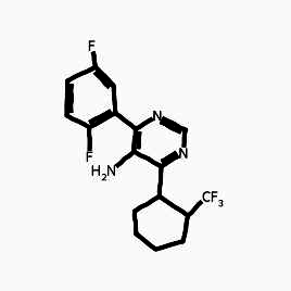 Nc1c(-c2cc(F)ccc2F)ncnc1C1CCCCC1C(F)(F)F